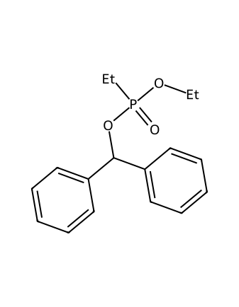 CCOP(=O)(CC)OC(c1ccccc1)c1ccccc1